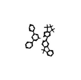 CC1(C)c2ccccc2-c2cc3c4cc5c(cc4n(-c4cc(-c6ccccc6)cc(-c6ccccc6)c4)c3cc21)C(C)(C)C(C)(C)C5(C)C